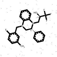 Cc1ccc(F)c(CN2C[C@@H](c3ccccc3)N(C[C@@H](O)C(F)(F)F)c3ccccc32)c1